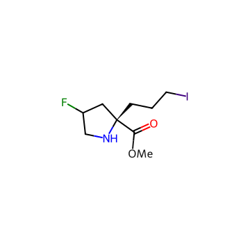 COC(=O)[C@@]1(CCCI)CC(F)CN1